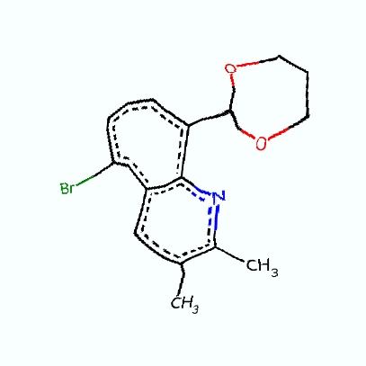 Cc1cc2c(Br)ccc(C3OCCCO3)c2nc1C